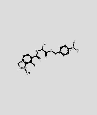 Cc1c(C(=O)N[C@H](C(=O)OCc2ccc([S+]([O-])C(C)C)cc2)C(C)C)ccc2c1B(O)OC2